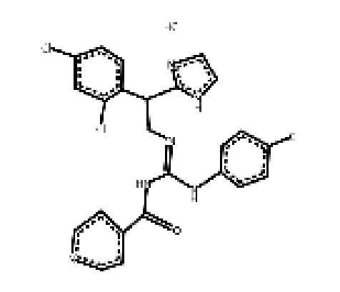 Cl.O=C(NC(=NCC(c1ncc[nH]1)c1ccc(Cl)cc1Cl)Nc1ccc(Cl)cc1)c1ccncc1